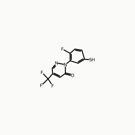 O=c1cc(C(F)(F)F)cnn1-c1cc(S)ccc1F